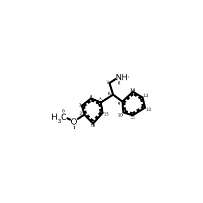 COc1ccc(C(C[NH])c2ccccc2)cc1